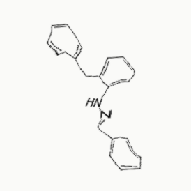 C(=NNc1ccccc1Cc1ccccc1)c1ccccc1